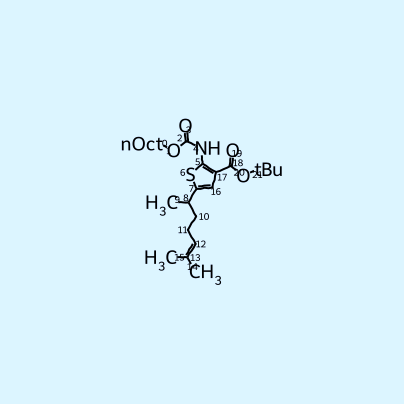 CCCCCCCCOC(=O)Nc1sc(C(C)CCC=C(C)C)cc1C(=O)OC(C)(C)C